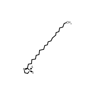 CCCCCCCCCCCCCCCCCCCCC1=NCCS1(=S)=S